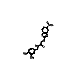 O=C(CSc1nc2cc([N+](=O)[O-])ccc2s1)NCc1ccc(O)c(O)c1